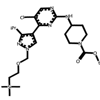 CC(C)c1nn(COCC[Si](C)(C)C)cc1-c1nc(NC2CCN(C(=O)OC(C)(C)C)CC2)ncc1Cl